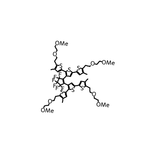 COCCOCCc1sc(-c2cc(C3=C(c4cc(-c5cc(C)c(CCOCCOC)s5)sc4-c4cc(C)c(CCOCCOC)s4)C(F)(F)C(F)(F)C3(F)F)c(-c3cc(C)c(CCOCCOC)s3)s2)cc1C